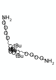 CC(C)(C)c1cc(CCCOCCOCCOCCOCCN)cc(C(C)(C)C)c1OC(=O)Oc1c(C(C)(C)C)cc(CCCOCCOCCOCCOCCN)cc1C(C)(C)C